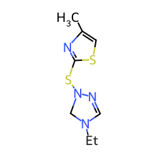 CCN1C=NN(Sc2nc(C)cs2)C1